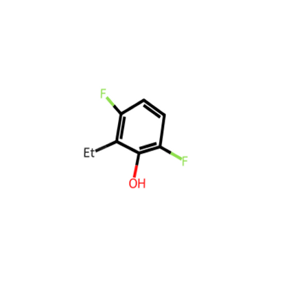 CCc1c(F)ccc(F)c1O